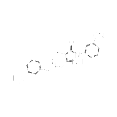 N#Cc1cccc(-n2[nH]c3c(c2=O)CCN(Cc2cccc(C(F)(F)F)c2)C3)c1